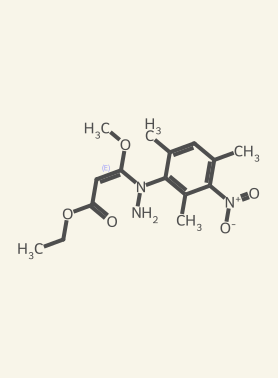 CCOC(=O)/C=C(/OC)N(N)c1c(C)cc(C)c([N+](=O)[O-])c1C